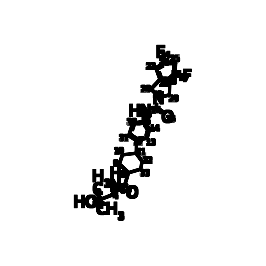 CC(C)(O)CNC(=O)C1CCC(c2ccc(NC(=O)N3Cc4cc(F)cc(F)c4C3)cc2)CC1